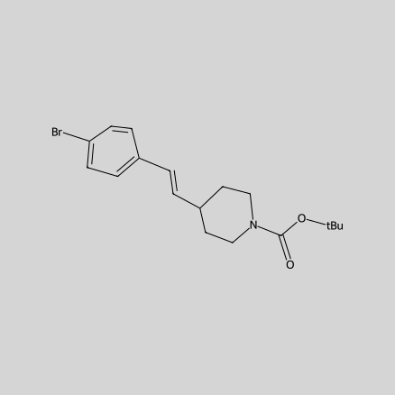 CC(C)(C)OC(=O)N1CCC(C=Cc2ccc(Br)cc2)CC1